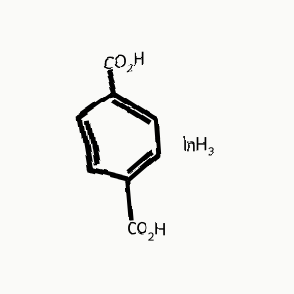 O=C(O)c1ccc(C(=O)O)cc1.[InH3]